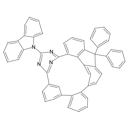 c1ccc(C2(c3ccccc3)c3ccc4cc3-c3c(cccc32)-c2nc(nc(-n3c5ccccc5c5ccccc53)n2)-c2cccc(c2)-c2ccccc2-4)cc1